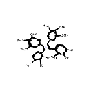 CCc1ccc(/C=C\c2cc(OC)c(OC)c(OC)c2)c(O)c1O.COc1cc(/C=C\c2ccc(C)c(O)c2O)cc(OC)c1OC